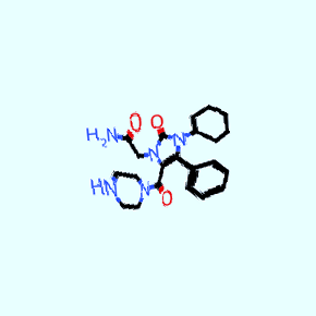 NC(=O)Cn1c(C(=O)N2CCNCC2)c(-c2ccccc2)n(C2CCCCC2)c1=O